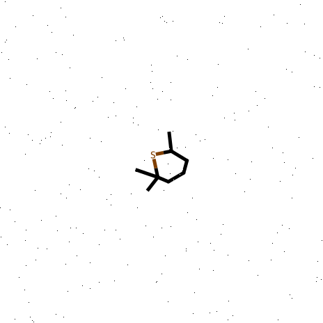 CC1CCCC(C)(C)S1